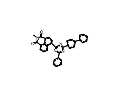 CN1C(=O)c2cccc3c(-c4nc(-c5ccccc5)nc(-c5ccc(-c6ccccc6)cc5)n4)ccc(c23)C1=O